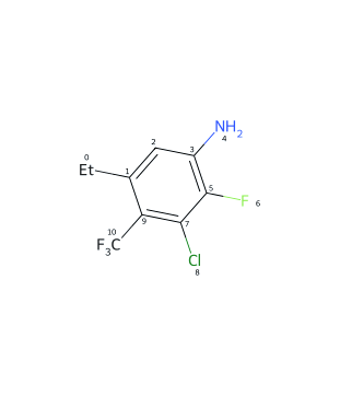 CCc1cc(N)c(F)c(Cl)c1C(F)(F)F